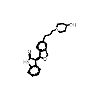 O=C1Nc2ccccc2C1=C1OCc2cc(CCCN3CCC(O)CC3)ccc21